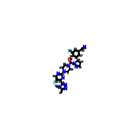 Cc1nnc(-c2nc(N3CCN(C(=O)N4N=CC[C@H]4c4cc(F)cc(C#N)c4)CC3)ncc2F)n1C